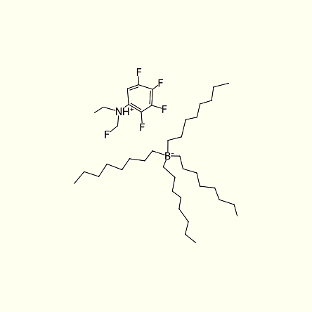 CCCCCCCC[B-](CCCCCCCC)(CCCCCCCC)CCCCCCCC.CC[NH+](CF)c1cc(F)c(F)c(F)c1F